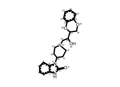 O=c1[nH]c2ccccc2n1C1CCN(CC(O)C2COc3ccccc3O2)CC1